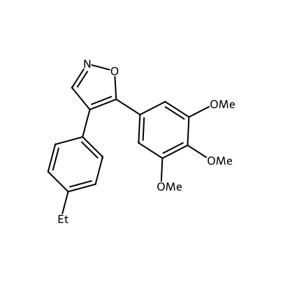 CCc1ccc(-c2cnoc2-c2cc(OC)c(OC)c(OC)c2)cc1